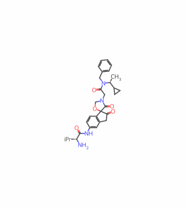 CC(C)[C@H](N)C(=O)Nc1ccc2c(c1)CC(=O)C21OCN(CC(=O)N(Cc2ccccc2)[C@@H](C)C2CC2)C1=O